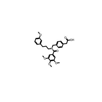 COc1cccc(CCCN(Cc2ccc(CC(=O)O)cc2)C(=O)c2cc(OC)c(OC)c(OC)c2)c1